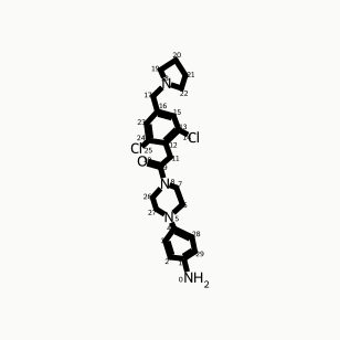 Nc1ccc(N2CCN(C(=O)Cc3c(Cl)cc(CN4CCCC4)cc3Cl)CC2)cc1